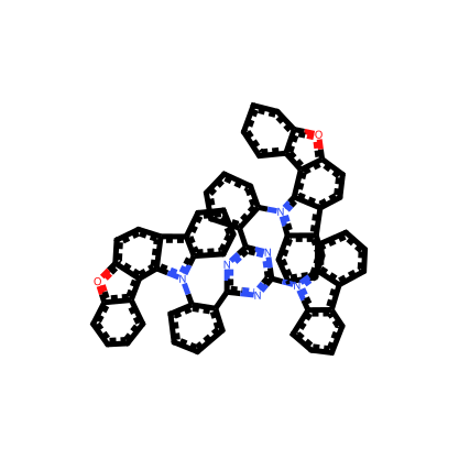 c1ccc(-n2c3ccccc3c3ccc4oc5ccccc5c4c32)c(-c2nc(-c3ccccc3-n3c4ccccc4c4ccc5oc6ccccc6c5c43)nc(-n3c4ccccc4c4ccccc43)n2)c1